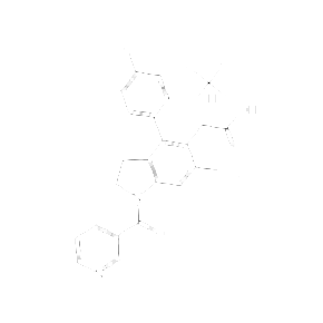 Cc1ccc(-c2c3c(cc(C)c2[C@H](OC(C)(C)C)C(=O)O)N(C(=O)c2cccnc2)CC3)cc1